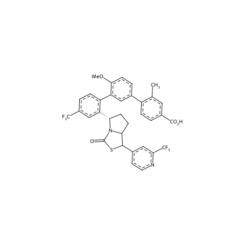 COc1ccc(-c2ccc(C(=O)O)cc2C)cc1-c1ccc(C(F)(F)F)cc1[C@@H]1CCC2C(c3ccnc(C(F)(F)F)c3)SC(=O)N21